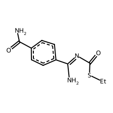 CCSC(=O)N=C(N)c1ccc(C(N)=O)cc1